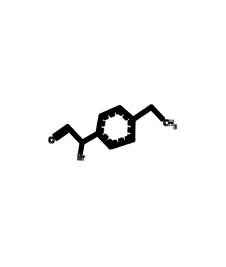 CCc1ccc(C(Br)C=O)cc1